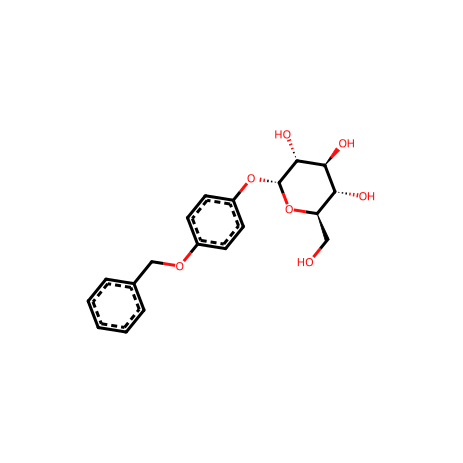 OC[C@H]1O[C@H](Oc2ccc(OCc3ccccc3)cc2)[C@H](O)[C@@H](O)[C@@H]1O